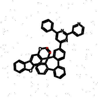 c1ccc(-c2cc(-c3ccc4c(c3)C3(c5ccccc5Oc5cc6c(cc53)oc3ccccc36)c3ccccc3-c3ccccc3-4)nc(-c3cccnc3)n2)cc1